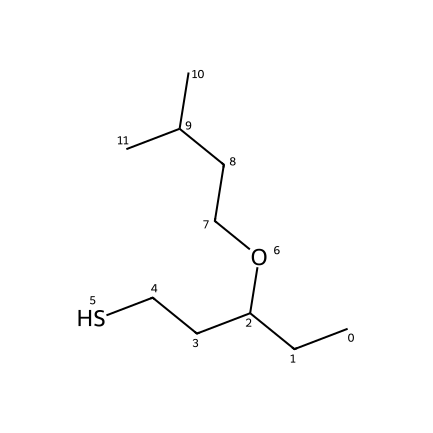 CCC(CCS)OCCC(C)C